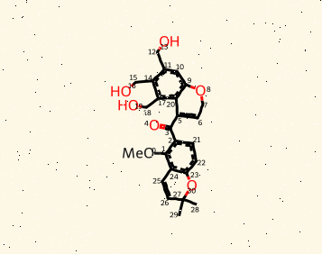 COc1c(C(=O)C2=CCOc3cc(CO)c(CO)c(CO)c32)ccc2c1C=CC(C)(C)O2